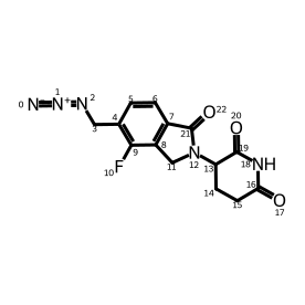 [N-]=[N+]=NCc1ccc2c(c1F)CN(C1CCC(=O)NC1=O)C2=O